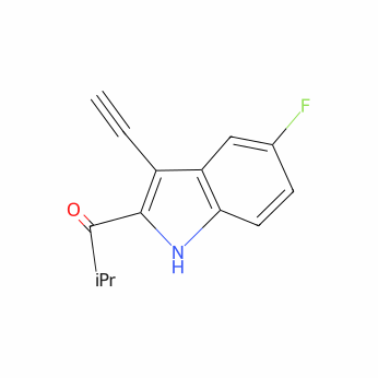 C#Cc1c(C(=O)C(C)C)[nH]c2ccc(F)cc12